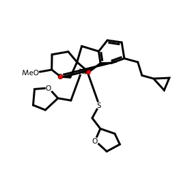 COC1CCC2(CC1)Cc1ccc(CCC3CC3)cc1C21N=C(SCC2CCCO2)N(CC2CCCO2)C1=O